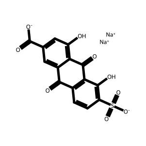 O=C([O-])c1cc(O)c2c(c1)C(=O)c1ccc(S(=O)(=O)[O-])c(O)c1C2=O.[Na+].[Na+]